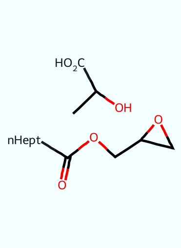 CC(O)C(=O)O.CCCCCCCC(=O)OCC1CO1